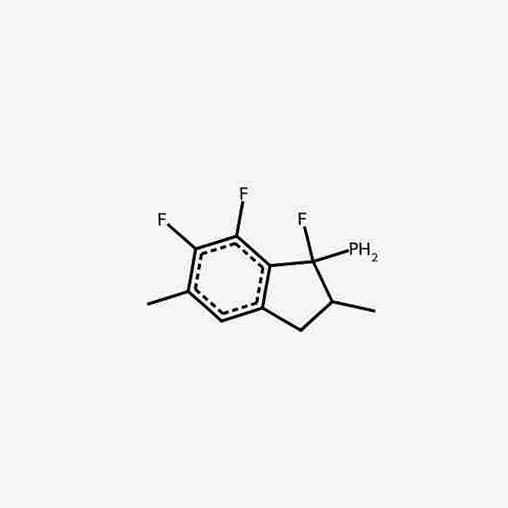 Cc1cc2c(c(F)c1F)C(F)(P)C(C)C2